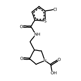 O=C(NCC1CN(C(=O)O)CC1=O)c1ccc(Cl)s1